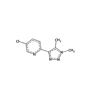 Cc1c(-c2ccc(Cl)cn2)nnn1C